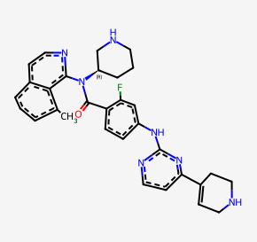 Cc1cccc2ccnc(N(C(=O)c3ccc(Nc4nccc(C5=CCNCC5)n4)cc3F)[C@@H]3CCCNC3)c12